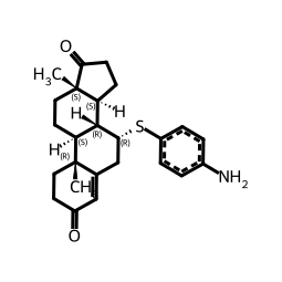 C[C@]12CCC(=O)C=C1C[C@@H](Sc1ccc(N)cc1)[C@@H]1[C@@H]2CC[C@]2(C)C(=O)CC[C@@H]12